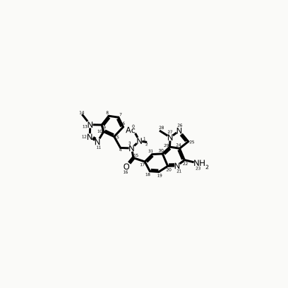 CC(=O)N(C)N(Cc1cccc2c1nnn2C)C(=O)c1ccc2nc(N)c3cnn(C)c3c2c1